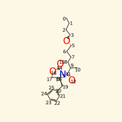 CCCCOCCCCC(C)C(=O)N1C(=O)OC[C@@H]1Cc1ccccc1